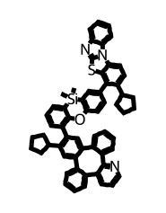 C[Si]1(C)c2cc(-c3c(C4CCCC4)ccc4c3sc3nc5ccccc5n34)ccc2Oc2c(-c3cc4c(cc3C3CCCC3)-c3ccccc3-c3cccnc3-c3ccccc3-4)cccc21